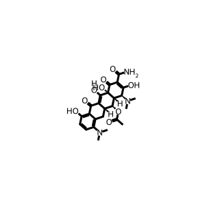 CC(=O)O[C@@H]1[C@H]2[C@H](N(C)C)C(O)=C(C(N)=O)C(=O)[C@@]2(O)C(O)=C2C(=O)c3c(O)ccc(N(C)C)c3C[C@H]21